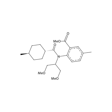 COCC(COC)N(c1ccc(C)cc1C(=O)OC)C(=O)[C@H]1CC[C@H](C)CC1